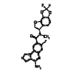 CN(C(=O)c1cc2c(cc1F)nc(N)c1cncn12)C1COc2c1ccc1c2OC(F)(F)O1